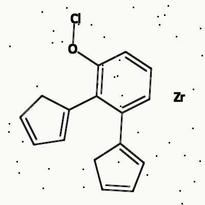 ClOc1cccc(C2=CC=CC2)c1C1=CC=CC1.[Zr]